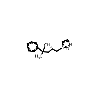 CC(C)(CCCn1ccnn1)c1ccccc1